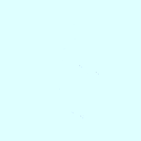 COc1ccc(Br)cc1SNc1noc2cc(Cn3cccn3)cc(OC)c12